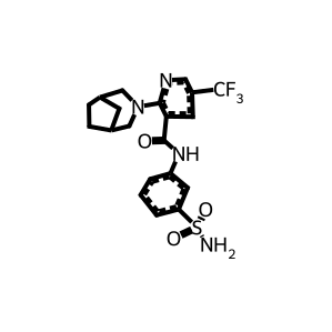 NS(=O)(=O)c1cccc(NC(=O)c2cc(C(F)(F)F)cnc2N2CC3CCC(C3)C2)c1